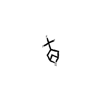 FC(F)(F)C1CC2CC(C1)N2